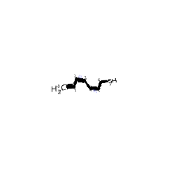 C=C/C=C\C=C/CS